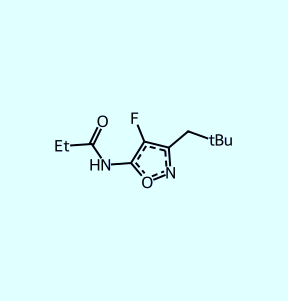 CCC(=O)Nc1onc(CC(C)(C)C)c1F